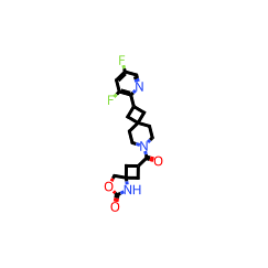 O=C1NC2(CO1)CC(C(=O)N1CCC3(CC1)CC(c1ncc(F)cc1F)C3)C2